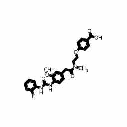 COc1cc(CC(=O)N(C)CCOc2ccc(C(=O)O)cc2)ccc1NC(=O)Nc1ccccc1F